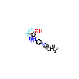 CC1(C)CCN(c2ccc(-n3nnc4c(C(F)(F)F)c(F)c(O)cc43)cc2)CC1